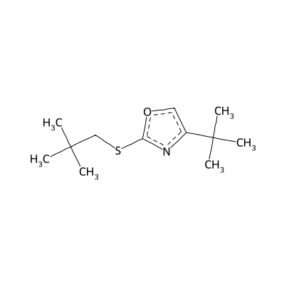 CC(C)(C)CSc1nc(C(C)(C)C)co1